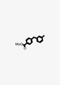 COC(=O)c1ccc(Cc2cccc(C)c2)cc1